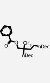 CCCCCCCCCCCCC(C)(CCCCCCCCCC)COC(=O)c1ccccc1